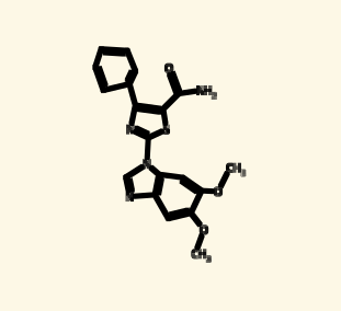 COc1cc2ncn(-c3nc(-c4ccccc4)c(C(N)=O)s3)c2cc1OC